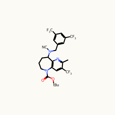 Cc1nc2c(cc1C(F)(F)F)N(C(=O)OC(C)(C)C)CCCC2N(C#N)Cc1cc(C(F)(F)F)cc(C(F)(F)F)c1